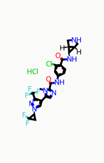 Cl.Cn1c(-c2cn([C@H]3CC3(F)F)nc2C(F)(F)F)cnc1C(=O)Nc1ccc(C(=O)N[C@H]2[C@@H]3CNC[C@@H]32)c(Cl)c1